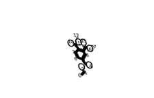 CCOC(=O)c1ccc(C(=O)OC)c(C(=O)OC)c1